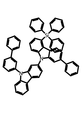 c1ccc(-c2cccc(-n3c4ccccc4c4ccc(-n5c6cc(-c7ccccc7)ccc6c6c([Si](c7ccccc7)(c7ccccc7)c7ccccc7)cccc65)cc43)c2)cc1